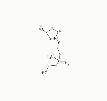 CCCC(C)(C)CCCN1CCC(O)C1